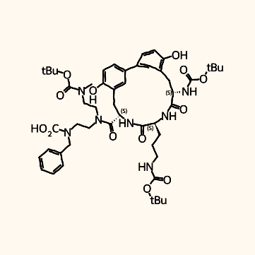 CN(CCN(CCN(Cc1ccccc1)C(=O)O)C(=O)[C@@H]1Cc2cc(ccc2O)-c2ccc(O)c(c2)C[C@H](NC(=O)OC(C)(C)C)C(=O)N[C@@H](CCCNC(=O)OC(C)(C)C)C(=O)N1)C(=O)OC(C)(C)C